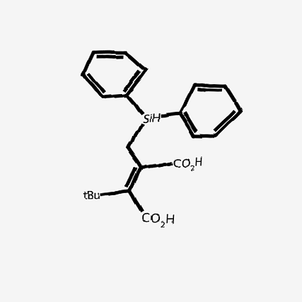 CC(C)(C)/C(C(=O)O)=C(\C[SiH](c1ccccc1)c1ccccc1)C(=O)O